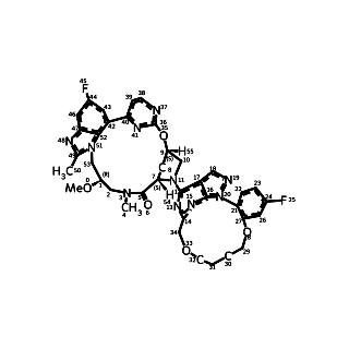 CO[C@@H]1CN(C)C(=O)[C@@H]2C[C@@H](CN2c2nc3nc4c2cnn4-c2ccc(F)cc2OCCCCOC3)Oc2nccc(n2)-c2cc(F)cc3nc(C)n(c23)C1